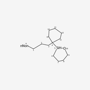 CCCCCCCCCCCCC1([SiH]2CCCCO2)CCCCC1